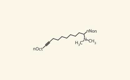 CCCCCCCCC#CCCCCCCCC(CCCCCCCCC)N(C)C